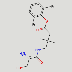 CC(C)c1cccc(C(C)C)c1OC(=O)CC(C)(C)CNC(=O)[C@@H](N)CO